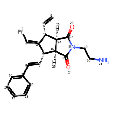 C=C[C@H]1C(=CC(C)C)[C@@H](C=Cc2ccccc2)[C@@H]2C(=O)N(CCN)C(=O)[C@@H]21